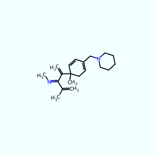 C=C(C)/C(=N/C)C(=C)C1(C)C=CC(CN2CCCCC2)=CC1